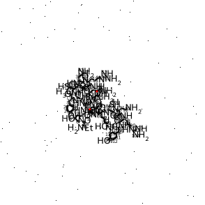 CC[C@H](N)C(=O)N1C[C@H](O)C[C@H]1C(=O)N[C@H](C(=O)N[C@H](C(=O)N[C@@H](Cc1ccc(O)cc1)C(=O)N[C@H](C(=O)N[C@@H](CC(N)=O)C(=O)N[C@@H](CCCNC(=N)N)C(=O)N[C@@H](CCN)C(=O)N[C@H](C(=O)N[C@H](CCN)C(=O)N[C@@H](CCCCN)C(=O)N[C@@H](CS)C(=O)N[C@@H](CCN)C(=O)N[C@@H](CCCNC(=N)N)C(=O)N[C@@H](Cc1ccc(O)cc1)C(=O)O)[C@@H](C)O)C(C)(C)S)[C@@H](C)CC)[C@@H](C)CC